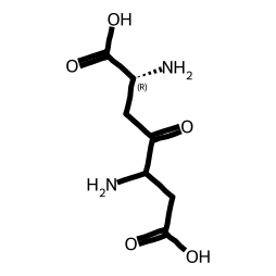 NC(CC(=O)O)C(=O)C[C@@H](N)C(=O)O